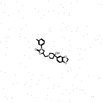 Cc1cccc(N2CC(CN3CCC(O)(c4ccc5c(c4)OCO5)CC3)OC2=O)c1